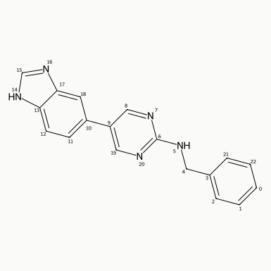 c1ccc(CNc2ncc(-c3ccc4[nH]cnc4c3)cn2)cc1